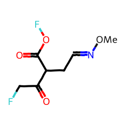 CON=CCC(C(=O)CF)C(=O)OF